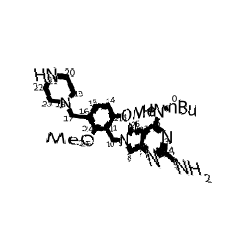 CCCCNc1nc(N)nc2cn(Cc3c(OC)ccc(CN4CCNCC4)c3OC)nc12